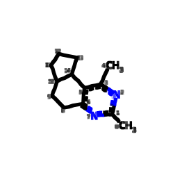 Cc1nc(C)c2c(n1)CCC1CCCC21